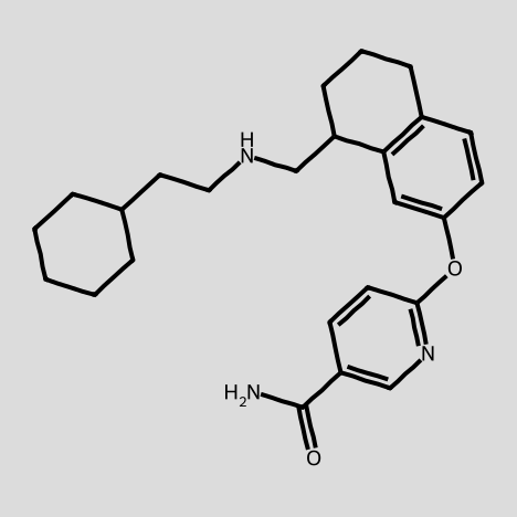 NC(=O)c1ccc(Oc2ccc3c(c2)C(CNCCC2CCCCC2)CCC3)nc1